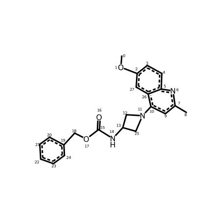 COc1ccc2nc(C)cc(N3CC(NC(=O)OCc4ccccc4)C3)c2c1